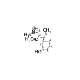 CCC(c1cccc(O)c1)C(CN(C)C)OC